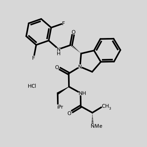 CN[C@@H](C)C(=O)N[C@@H](CC(C)C)C(=O)N1Cc2ccccc2[C@H]1C(=O)Nc1c(F)cccc1F.Cl